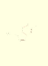 COC1N=Cc2cc(C)ccc21